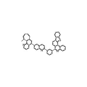 CC1=C=CC=Cc2cc(-c3ccc4nc(-c5cccc(-c6nc7ccccc7c7c6ccc6c8ccccc8sc67)c5)ccc4c3)c3cccnc3c21